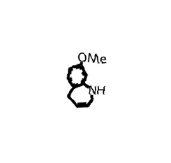 COc1ccc2c(c1)NCC=CC2